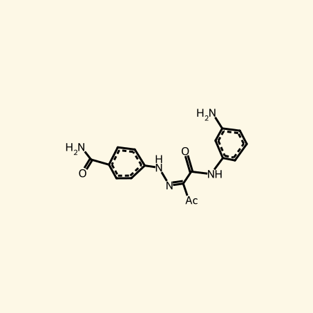 CC(=O)/C(=N/Nc1ccc(C(N)=O)cc1)C(=O)Nc1cccc(N)c1